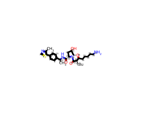 Cc1ncsc1-c1ccc([C@H](C)NC(=O)[C@@H]2C[C@@H](O)CN2C(=O)[C@@H](C(=O)CCCCCN)C(C)(C)C)cc1